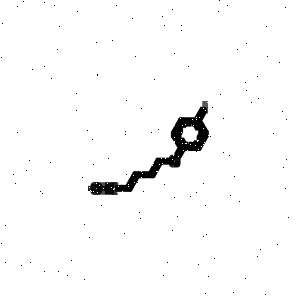 O=[C]CCCCOc1ccc(I)cc1